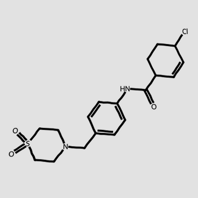 O=C(Nc1ccc(CN2CCS(=O)(=O)CC2)cc1)C1C=CC(Cl)CC1